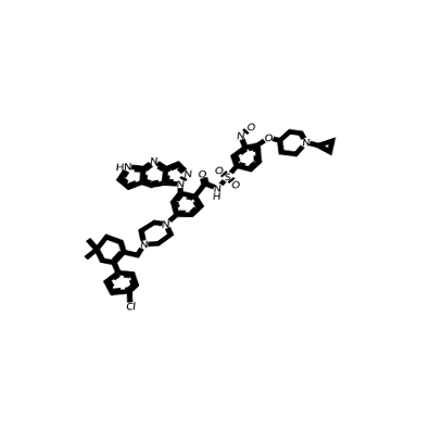 CC1(C)CCC(CN2CCN(c3ccc(C(=O)NS(=O)(=O)c4ccc(OC5CCN(C6CC6)CC5)c(N=O)c4)c(-n4ncc5nc6[nH]ccc6cc54)c3)CC2)=C(c2ccc(Cl)cc2)C1